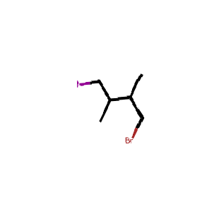 C[C](CBr)C(C)CI